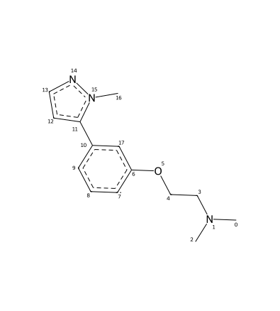 CN(C)CCOc1[c]ccc(-c2ccnn2C)c1